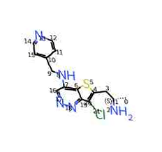 C[C@H](N)Cc1sc2c(NCc3ccncc3)cnnc2c1Cl